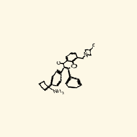 NC1(c2ccc(-c3c(-c4ccccc4)oc4c(CN5CC(F)C5)cccc4c3=O)cc2)CCC1